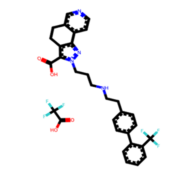 O=C(O)C(F)(F)F.O=C(O)c1c2c(nn1CCCNCCc1ccc(-c3ccccc3C(F)(F)F)cc1)-c1ccncc1CC2